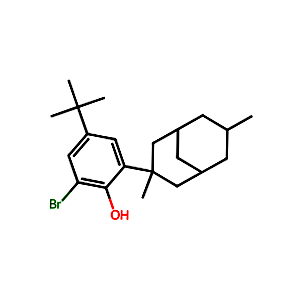 CC1CC2CC(C1)CC(C)(c1cc(C(C)(C)C)cc(Br)c1O)C2